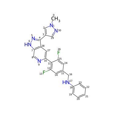 Cn1cc(-c2n[nH]c3cnc(-c4c(F)cc(CNc5ccccc5)cc4F)cc23)cn1